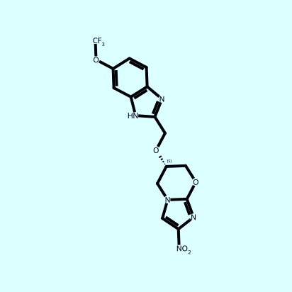 O=[N+]([O-])c1cn2c(n1)OC[C@@H](OCc1nc3ccc(OC(F)(F)F)cc3[nH]1)C2